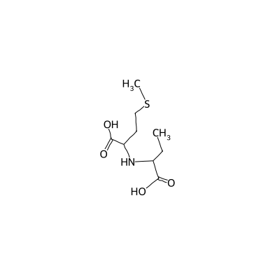 CCC(NC(CCSC)C(=O)O)C(=O)O